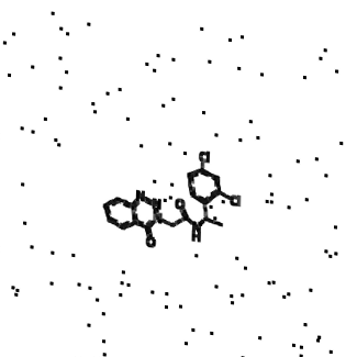 CC(NC(=O)Cn1nnc2ccccc2c1=O)c1ccc(Cl)cc1Cl